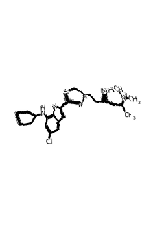 CC(CC(=N)CC[C@@H]1CSC(c2cc3cc(Cl)cc(NC4CCCC4)c3[nH]2)=N1)N(C)C